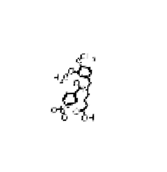 COc1ccc(CN(CCCC(=O)O)C(=O)c2ccc([N+](=O)[O-])cc2)cc1OC